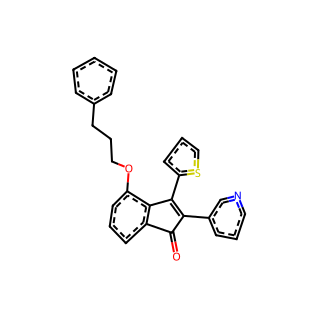 O=C1C(c2cccnc2)=C(c2cccs2)c2c(OCCCc3ccccc3)cccc21